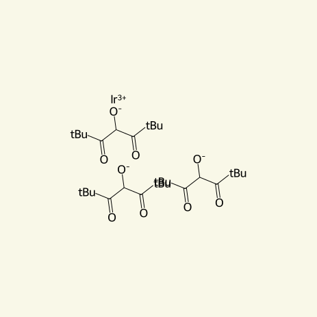 CC(C)(C)C(=O)C([O-])C(=O)C(C)(C)C.CC(C)(C)C(=O)C([O-])C(=O)C(C)(C)C.CC(C)(C)C(=O)C([O-])C(=O)C(C)(C)C.[Ir+3]